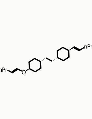 CCC/C=C/O[C@H]1CC[C@H](CC[C@H]2CC[C@H](/C=C/CCC)CC2)CC1